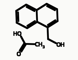 CC(=O)O.OCc1cccc2ccccc12